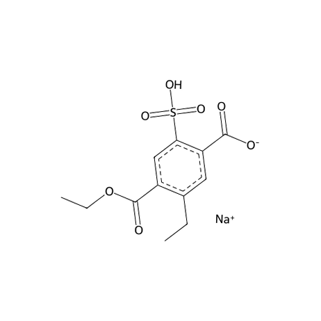 CCOC(=O)c1cc(S(=O)(=O)O)c(C(=O)[O-])cc1CC.[Na+]